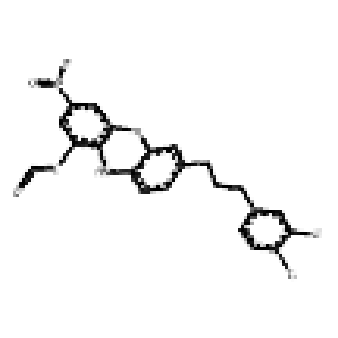 O=COc1cc([N+](=O)[O-])cc2c1Nc1ccc(CCCc3ccc(Cl)c(Cl)c3)cc1O2